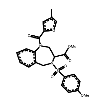 COC(=O)C1CN(C(=O)c2cc(C)co2)c2ccccc2CN1S(=O)(=O)c1ccc(OC)cc1